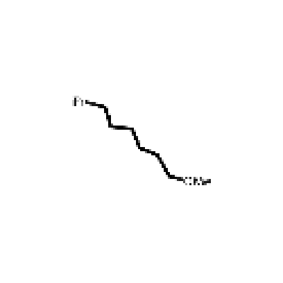 COCCCCCCC(C)C